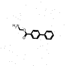 NCOC(=O)c1ccc(-c2ccccc2)cc1